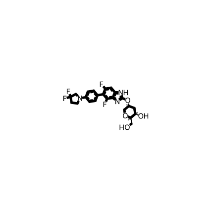 OC[C@H]1OC[C@H](Oc2nc3c(F)c(-c4ccc(N5CCC(F)(F)C5)cc4)c(F)cc3[nH]2)C[C@@H]1O